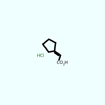 Cl.O=C(O)C=C1CCCC1